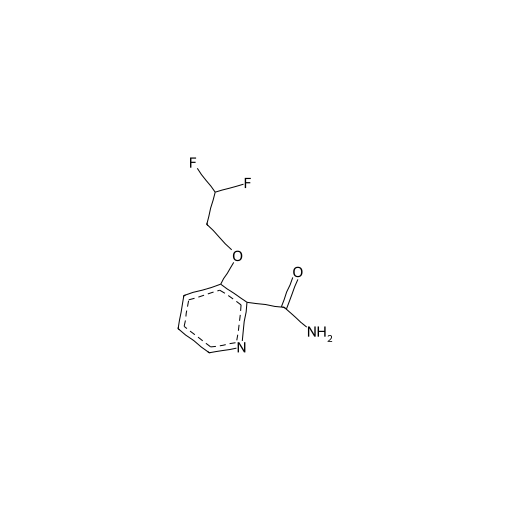 NC(=O)c1ncccc1OCC(F)F